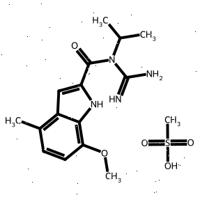 COc1ccc(C)c2cc(C(=O)N(C(=N)N)C(C)C)[nH]c12.CS(=O)(=O)O